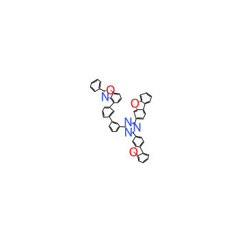 c1ccc(-c2nc3c(-c4cccc(-c5cccc(-c6nc(-c7ccc8c(c7)oc7ccccc78)nc(-c7ccc8c(c7)oc7ccccc78)n6)c5)c4)cccc3o2)cc1